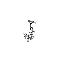 COC(=O)C1O[C@@H](OC(=O)Nc2ccc(C=C(CO)CO)cc2)C(O)C(O)[C@@H]1O